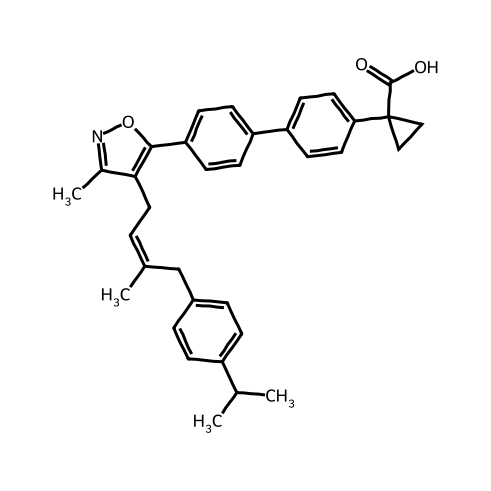 CC(=CCc1c(C)noc1-c1ccc(-c2ccc(C3(C(=O)O)CC3)cc2)cc1)Cc1ccc(C(C)C)cc1